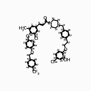 Cc1cc(/C=C/C(=O)N2CCN(Cc3ccc(CCOc4ccc(Cl)cn4)cc3)CC2)cc(Cl)c1Oc1ccc(OCc2ccc(C(F)(F)F)cc2)cn1.Cl